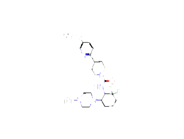 COc1ccc(C2CCN(C(=O)NC3C(N4CCN(C(C)C)CC4)CCCC3(F)F)CC2)nc1